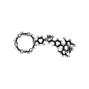 CC1=CC(C)=[N+]2C1=C(c1ccc(-c3cn(-c4ccc(N5CCOCCOCCOCCOCCOCC5)cc4)nn3)cc1)c1c(C)cc(C)n1[B-]2(F)F